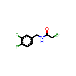 O=C(CBr)NCc1ccc(F)c(F)c1